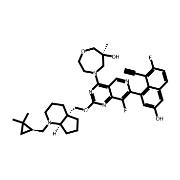 C#Cc1c(F)ccc2cc(O)cc(-c3ncc4c(N5CCOC[C@@](C)(O)C5)nc(OC[C@]56CCC[C@H]5N(C[C@H]5CC5(C)C)CCC6)nc4c3F)c12